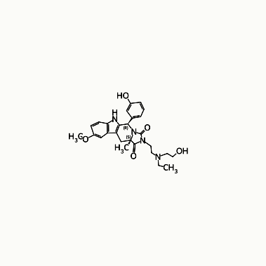 CCN(CCO)CCN1C(=O)N2[C@H](c3cccc(O)c3)c3[nH]c4ccc(OC)cc4c3C[C@@]2(C)C1=O